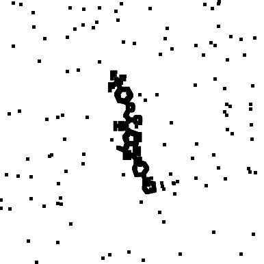 Cc1nc(N2CCC(N3CCCC3)CC2)nc2ncc(NC(=O)COc3ccc(C(F)(F)F)cc3)cc12